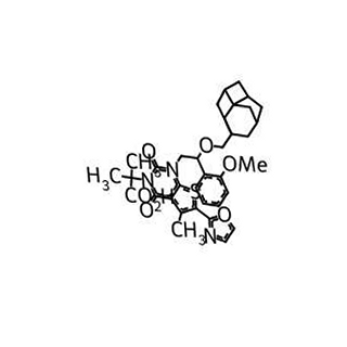 COc1ccccc1C(Cn1c(=O)n(C(C)(C)C(=O)O)c(=O)c2c(C)c(-c3ncco3)sc21)OCC12CC3CC4CC(C1)C4(C3)C2